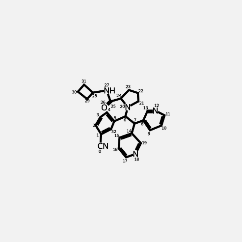 N#Cc1cccc(C(C(c2cccnc2)c2cccnc2)N2CCCC2C(=O)NC2CCC2)c1